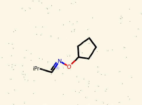 CC(C)/C=N/OC1CCCC1